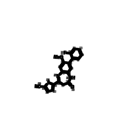 COc1cc2c(cc1-c1ccccc1F)NC(=O)CC(c1ccc(C#N)s1)=N2